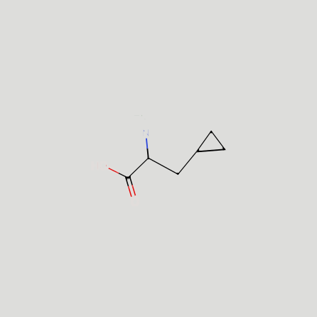 Cl.NC(CC1CC1)C(=O)O